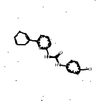 O=C(Nc1ccc(Cl)cc1)Nc1cccc(C2=CCCCC2)n1